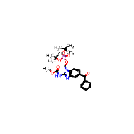 COC(=O)Nc1nc2cc(C(=O)c3ccccc3)ccc2n1COP(=O)(OC(C)(C)C)OC(C)(C)C